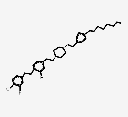 CCCCCCCCc1ccc(CC[C@H]2CC[C@H](CCc3ccc(CCc4ccc(Cl)c(F)c4)c(F)c3)CC2)cc1